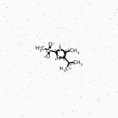 Cc1sc(S(C)(=O)=O)nc1C(C)C